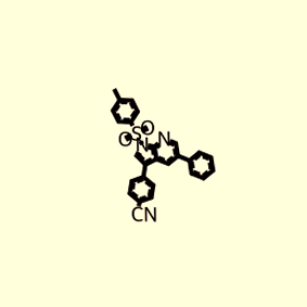 Cc1ccc(S(=O)(=O)n2cc(-c3ccc(C#N)cc3)c3cc(-c4ccccc4)cnc32)cc1